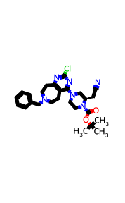 CC(C)(C)OC(=O)N1CCN(c2nc(Cl)nc3c2CCN(Cc2ccccc2)CC3)C[C@H]1CC#N